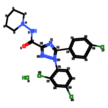 Cl.O=C(NN1CCCCC1)c1nc(-c2ccc(Cl)cc2)n(-c2ccc(Cl)cc2Cl)n1